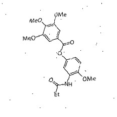 CCC(=O)Nc1cc(OC(=O)c2cc(OC)c(OC)c(OC)c2)ccc1OC